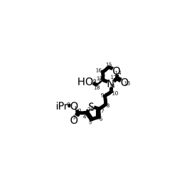 CC(C)OC(=O)c1ccc(CCCN2C(=O)OCC[C@@H]2CO)s1